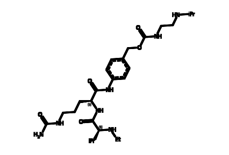 CCN[C@H](C(=O)N[C@@H](CCCNC(N)=O)C(=O)Nc1ccc(COC(=O)NCCNC(C)C)cc1)C(C)C